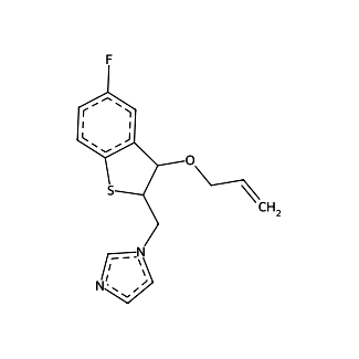 C=CCOC1c2cc(F)ccc2SC1Cn1ccnc1